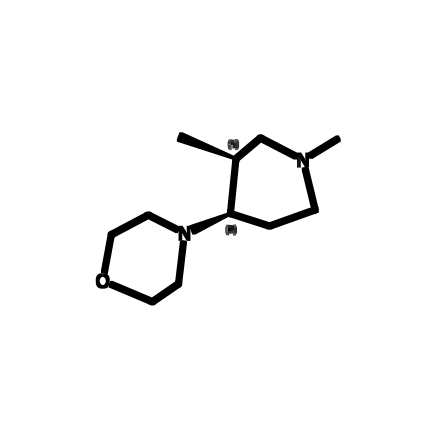 C[C@H]1CN(C)CC[C@H]1N1CCOCC1